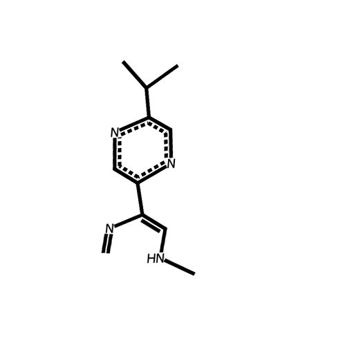 C=N/C(=C\NC)c1cnc(C(C)C)cn1